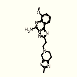 COc1cccc2c1nc(N)n1nc(CCN3CCc4nc(C)sc4C3)nc21